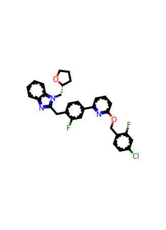 Fc1cc(Cl)ccc1COc1cccc(-c2ccc(Cc3nc4ccccc4n3C[C@H]3CCCO3)c(F)c2)n1